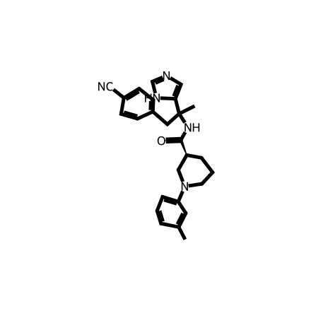 Cc1cccc(N2CCC[C@H](C(=O)NC(C)(Cc3ccc(C#N)cc3)c3cnc[nH]3)C2)c1